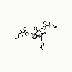 C=CCC(C)(C)C(=O)OCn1c(=O)c2c(ccn2COC(=O)C(C)(C)CCC)n(CCOC(C)C)c1=S